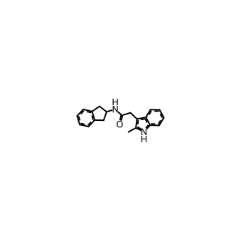 Cc1[nH]c2ccccc2c1CC(=O)NC1Cc2ccccc2C1